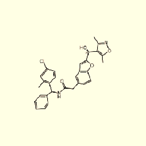 Cc1cc(Cl)ccc1C(NC(=O)Cc1ccc2oc([C@@H](O)c3c(C)noc3C)cc2c1)c1ccccc1